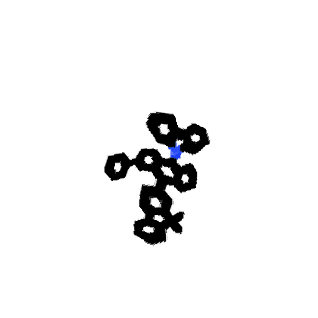 CC1(C)c2ccccc2-c2ccc(-c3c4ccccc4c(-n4c5ccccc5c5ccccc54)c4ccc(-c5ccccc5)cc34)cc21